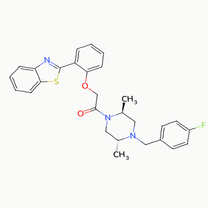 C[C@@H]1CN(C(=O)COc2ccccc2-c2nc3ccccc3s2)[C@@H](C)CN1Cc1ccc(F)cc1